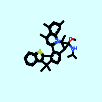 COC1(NC(C)C)C2c3ccc4c(c3-c3cc(C)c5c(C)cc(C)cc5[n+]3C21C)-c1sc2ccccc2c1C4(C)C